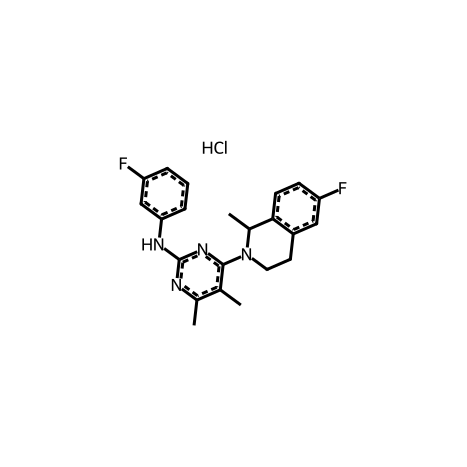 Cc1nc(Nc2cccc(F)c2)nc(N2CCc3cc(F)ccc3C2C)c1C.Cl